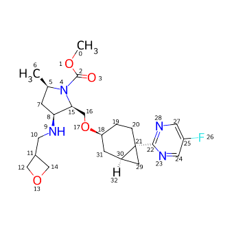 COC(=O)N1[C@H](C)C[C@H](NCC2COC2)[C@@H]1CO[C@H]1CC[C@@]2(c3ncc(F)cn3)C[C@H]2C1